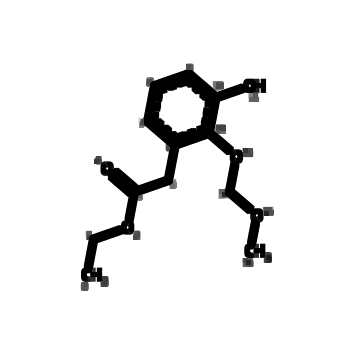 CCOC(=O)Cc1cccc(O)c1OCOC